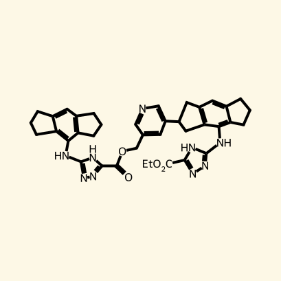 CCOC(=O)c1nnc(Nc2c3c(cc4c2CC(c2cncc(COC(=O)c5nnc(Nc6c7c(cc8c6CCC8)CCC7)[nH]5)c2)C4)CCC3)[nH]1